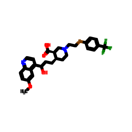 COc1ccc2nccc(C(O)CC[C@@H]3CCN(CCSc4ccc(C(F)(F)F)cc4)C[C@@H]3C(=O)O)c2c1